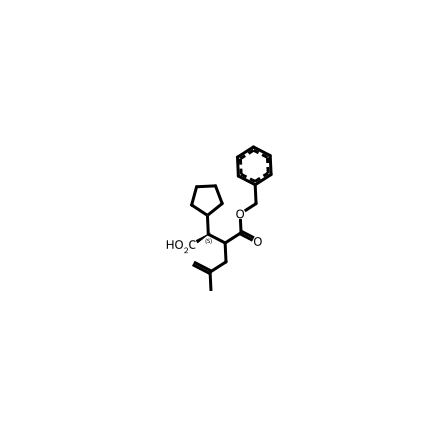 C=C(C)CC(C(=O)OCc1ccccc1)[C@@H](C(=O)O)C1CCCC1